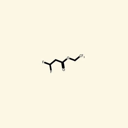 O=C(CC(F)F)OCC(F)(F)F